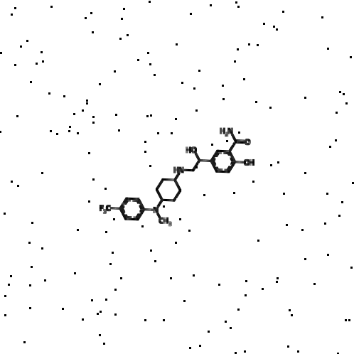 CN(c1ccc(C(F)(F)F)cc1)C1CCC(NCC(O)c2ccc(O)c(C(N)=O)c2)CC1